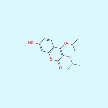 CC(C)Oc1c(OC(C)C)c2ccc(O)cc2oc1=O